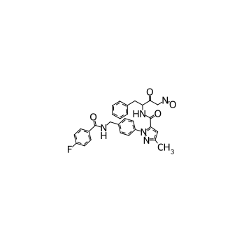 Cc1cc(C(=O)NC(Cc2ccccc2)C(=O)CN=O)n(-c2ccc(CNC(=O)c3ccc(F)cc3)cc2)n1